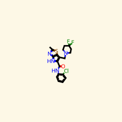 Cc1nc2[nH]c(C(=O)Nc3ccccc3Cl)c(CN3CCC(F)(F)CC3)c2s1